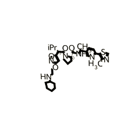 Cc1ncsc1-c1ccc([C@H](C)NC(=O)[C@@H]2CCCN2C(=O)[C@@H](c2cc(OCCNC3CCCCC3)no2)C(C)C)cn1